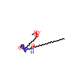 CCCCCCCCCCCCCCCCCCCCCC(=O)NCCCC[N+](CC)(CCCCCCCCCCCC)CN1CCCC1=O.CCOS(=O)(=O)[O-]